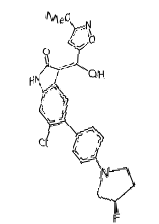 COc1cc(/C(O)=C2\C(=O)Nc3cc(Cl)c(-c4ccc(N5CC[C@@H](F)C5)cc4)cc32)on1